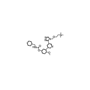 COc1ccc(OC(=O)NCc2ccccc2)cc1-c1cncc(-c2nncn2COCC[Si](C)(C)C)c1